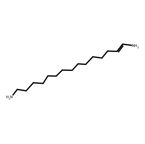 NC=CCCCCCCCCCCCCCN